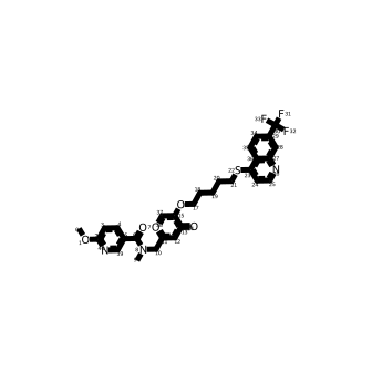 COc1ccc(C(=O)N(C)Cc2cc(=O)c(OCCCCCSc3ccnc4cc(C(F)(F)F)ccc34)co2)cn1